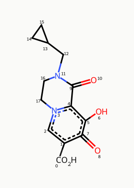 O=C(O)c1cn2c(c(O)c1=O)C(=O)N(CC1CC1)CC2